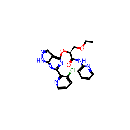 CCOC[C@H](Oc1nc(-c2ncccc2Cl)nc2[nH]ncc12)C(=O)Nc1ccccn1